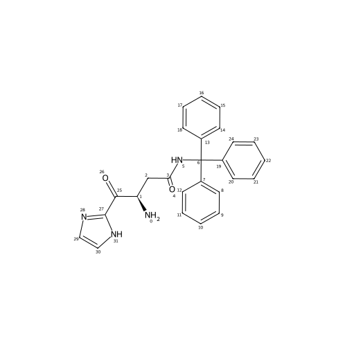 N[C@H](CC(=O)NC(c1ccccc1)(c1ccccc1)c1ccccc1)C(=O)c1ncc[nH]1